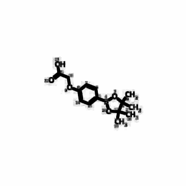 CC1(C)OB(c2ccc(OCC(=O)O)cc2)OC1(C)C